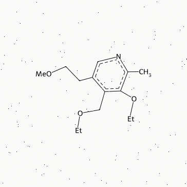 CCOCc1c(CCOC)cnc(C)c1OCC